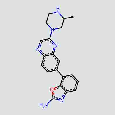 C[C@H]1CN(c2cnc3ccc(-c4cccc5nc(N)oc45)cc3n2)CCN1